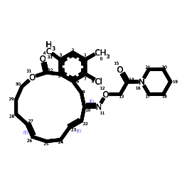 Cc1cc(C)c2c(c1Cl)CC(=N\OCC(=O)N1CCCCC1)/C=C/CC/C=C/CCCOC2=O